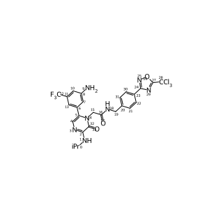 CC(C)Nc1ncc(-c2cc(N)cc(C(F)(F)F)c2)n(CC(=O)NCc2ccc(-c3noc(C(Cl)(Cl)Cl)n3)cc2)c1=O